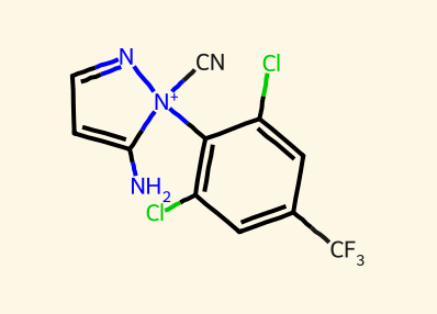 N#C[N+]1(c2c(Cl)cc(C(F)(F)F)cc2Cl)N=CC=C1N